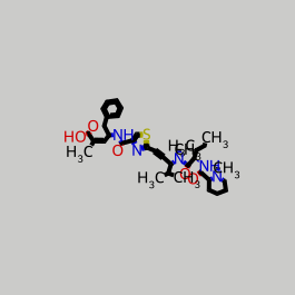 CC[C@H](C)[C@H](NC(=O)C1CCCCN1C)C(=O)N(C)C(C#Cc1nc(C(=O)NC(C=C(C)C(=O)O)Cc2ccccc2)cs1)C(C)C